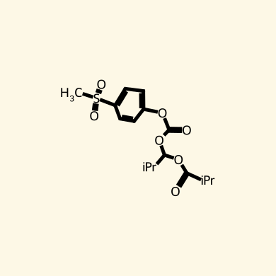 CC(C)C(=O)OC(OC(=O)Oc1ccc(S(C)(=O)=O)cc1)C(C)C